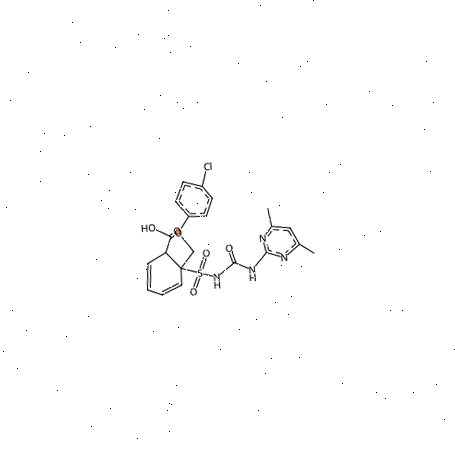 Cc1cc(C)nc(NC(=O)NS(=O)(=O)C2(COc3ccc(Cl)cc3)C=CC=CC2C(=O)O)n1